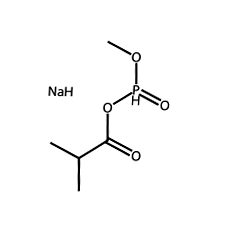 CO[PH](=O)OC(=O)C(C)C.[NaH]